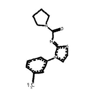 O=C(N=c1sccn1-c1cccc(C(F)(F)F)c1)N1CCCC1